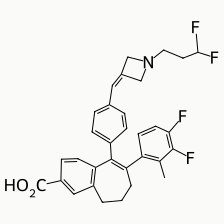 Cc1c(C2=C(c3ccc(C=C4CN(CCC(F)F)C4)cc3)c3ccc(C(=O)O)cc3CCC2)ccc(F)c1F